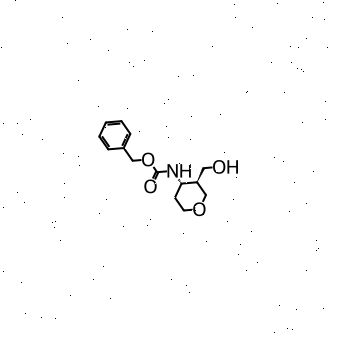 O=C(N[C@H]1CCOC[C@@H]1CO)OCc1ccccc1